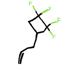 C=CCC1CC(F)(F)C1(F)F